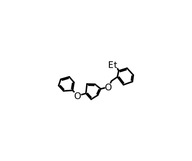 CCc1ccccc1COc1ccc(Oc2ccccc2)cc1